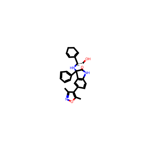 Cc1noc(C)c1-c1ccc2c(c1)C(N[C@@H](CO)C1=CCCC=C1)(c1ccccc1)C(=O)N2